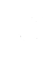 COC(=O)/C=C/C(=O)C(=O)c1c(C(C)C)cccc1C(C)C